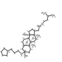 CN(C)CCONCC1CC[C@@]2(O)[C@@H]3CCC4CC(O)(OCCCN5CCCC5)CC[C@]4(C)[C@@H]3CC[C@]12C